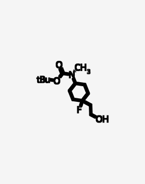 CN(C(=O)OC(C)(C)C)C1CCC(F)(CCO)CC1